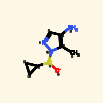 Cc1c(N)cnn1[S+]([O-])C1CC1